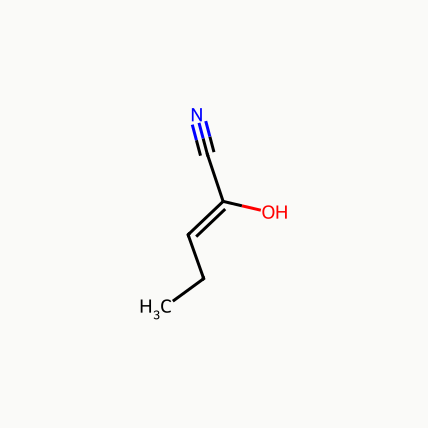 CC/C=C(\O)C#N